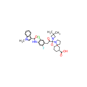 Cn1cc(C(=O)Nc2cc(F)c(CC(=O)C(O[C@H]3CC[C@H](C(=O)O)CC3)(N3CCCC3)N3CC(C)(C)C3)cc2Cl)c2ccccc21